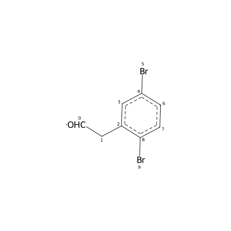 O=[C]Cc1cc(Br)ccc1Br